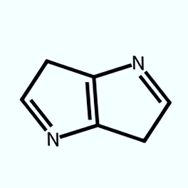 C1=NC2=C(C1)N=CC2